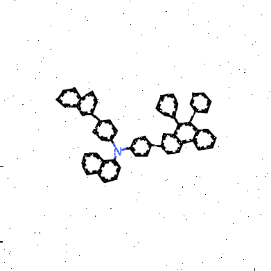 c1ccc(-c2c(-c3ccccc3)c3cc(-c4ccc(N(c5ccc(-c6ccc7ccccc7c6)cc5)c5cccc6ccccc56)cc4)ccc3c3ccccc23)cc1